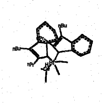 CCCCC1=C(CCC)[CH]([Hf]([CH3])([CH3])([CH]2C(CCC)=C(CCCC)c3ccccc32)[GeH]([CH3])[CH3])c2ccccc21